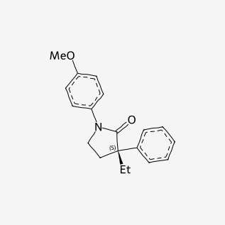 CC[C@@]1(c2ccccc2)CCN(c2ccc(OC)cc2)C1=O